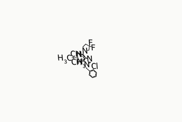 CC(C)(C)c1nc(N2CCC(F)(F)C2)c2ncn(Cc3ccccc3Cl)c2n1